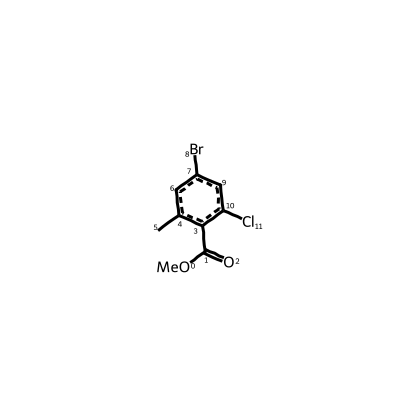 COC(=O)c1c(C)cc(Br)cc1Cl